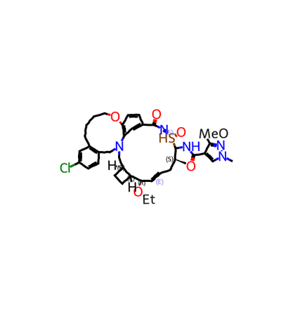 CCO[C@H]1/C=C/C[C@H](C)C(NC(=O)c2cn(C)nc2OC)/[SH](=O)=N\C(=O)c2ccc3c(c2)N(Cc2ccc(Cl)cc2CCCCO3)C[C@@H]2CC[C@H]21